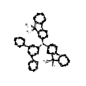 CC1(C)c2ccccc2-c2ccc(N(c3cc(-c4ccccc4)cc(-c4ccccc4)c3)c3ccc4c(c3)C(C)(C)c3ccccc3-4)cc21